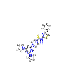 S=C(Nc1nc(-c2ccccc2)cs1)N1CCN(c2cc(N3CCCC3)nc(N3CCCC3)n2)CC1